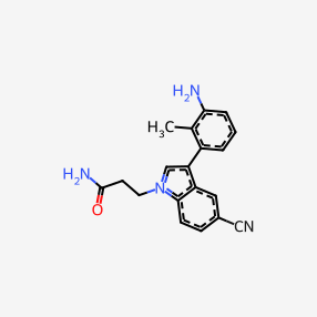 Cc1c(N)cccc1-c1cn(CCC(N)=O)c2ccc(C#N)cc12